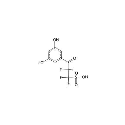 O=C(c1cc(O)cc(O)c1)C(F)(F)C(F)(F)S(=O)(=O)O